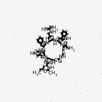 CCCC[C@H](NC(C)=O)C(=O)N[C@H]1CCC(=O)NCCCC(C(N)=O)NC(=O)[C@H](Cc2c[nH]c3ccccc23)NC(=O)[C@H](CCCNC(=N)N)NC(=O)C(Cc2ccccc2)NC(=O)[C@H](Cc2c[nH]cn2)NC1=O